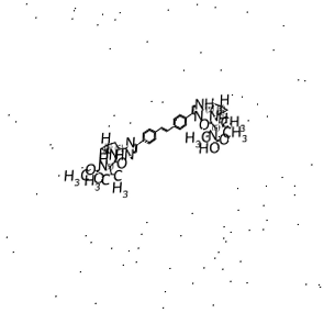 COC(=O)N[C@H](C(=O)N1[C@@H]2C[C@H]2C[C@H]1c1nc(-c2ccc(C=Cc3ccc(-c4c[nH]c([C@@H]5C[C@H]6C[C@H]6N5C(=O)[C@H](C(C)C)N(C)C(=O)O)n4)cc3)cc2)c[nH]1)C(C)C